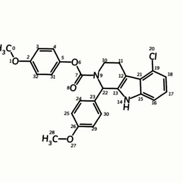 COc1ccc(OC(=O)N2CCc3c([nH]c4cccc(Cl)c34)C2c2ccc(OC)cc2)cc1